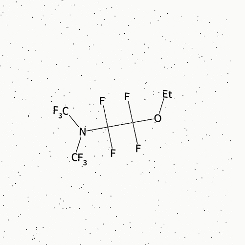 CCOC(F)(F)C(F)(F)N(C(F)(F)F)C(F)(F)F